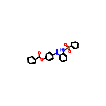 O=C(Oc1ccc(Nc2ccccc2NS(=O)(=O)c2ccccc2)cc1)c1ccccc1